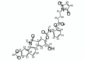 CN(C(=O)Oc1cc2c(=O)n(C)c3c4cc5c(cc4ccc3c2cc1CO)OCO5)c1ccccc1OC(=O)CCCN1C(=O)C=CC1=O